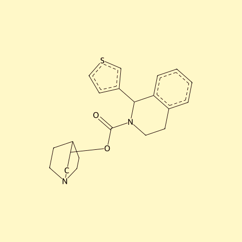 O=C(OC1CN2CCC1CC2)N1CCc2ccccc2C1c1ccsc1